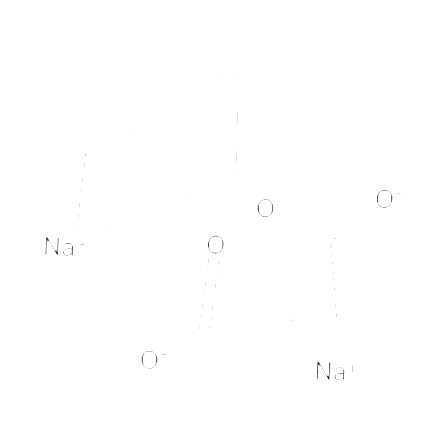 C1=CC2C3C=CC(C3)C2C1.O=C([O-])/C=C\C(=O)[O-].[Na+].[Na+]